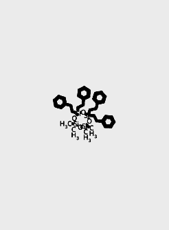 C[Si]1(C)O[Si](C)(C)O[Si](CCc2ccccc2)(CCc2ccccc2)O[Si](CCc2ccccc2)(CCc2ccccc2)O1